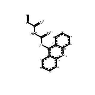 C=CC(=O)NC(=O)Oc1c2ccccc2nc2ccccc12